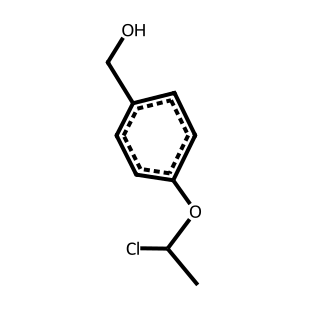 CC(Cl)Oc1ccc(CO)cc1